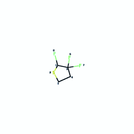 FC1SCCC1(F)F